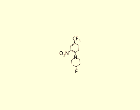 O=[N+]([O-])c1cc(C(F)(F)F)ccc1N1CCC(F)CC1